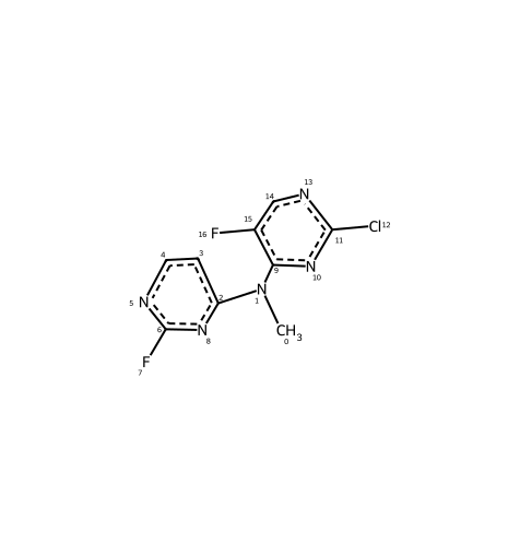 CN(c1ccnc(F)n1)c1nc(Cl)ncc1F